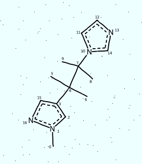 Cn1cc(C(C)(C)C(C)(C)n2ccnc2)cn1